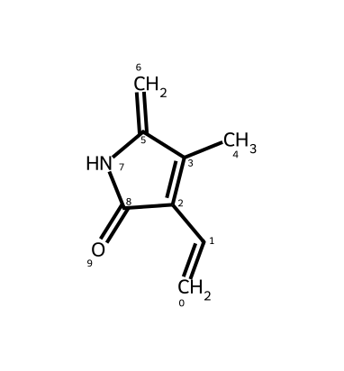 C=CC1=C(C)C(=C)NC1=O